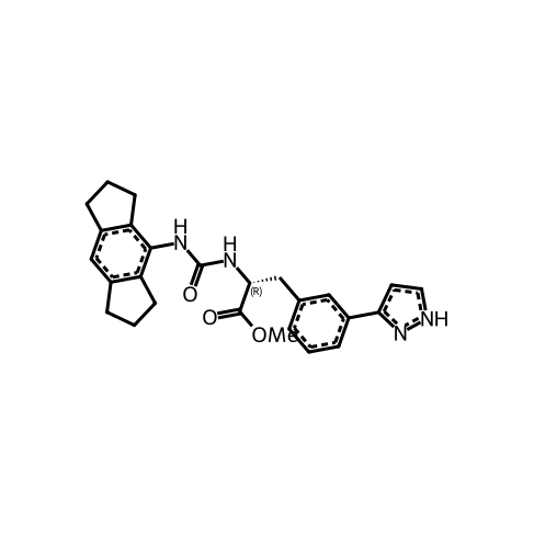 COC(=O)[C@@H](Cc1cccc(-c2cc[nH]n2)c1)NC(=O)Nc1c2c(cc3c1CCC3)CCC2